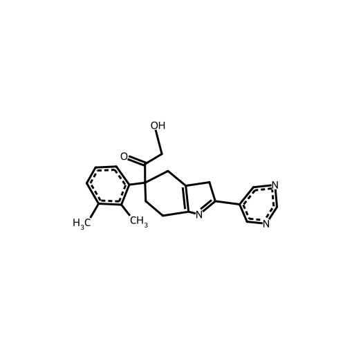 Cc1cccc(C2(C(=O)CO)CCC3=C(CC(c4cncnc4)=N3)C2)c1C